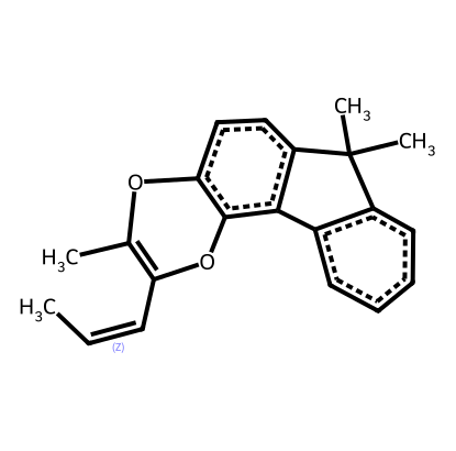 C/C=C\C1=C(C)Oc2ccc3c(c2O1)-c1ccccc1C3(C)C